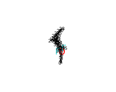 CCCCCCCOc1c(F)cc(-c2ccc(C3(CCC)CCC(CCCCC)CC3)cc2)cc1F